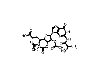 CC(=O)O[C@H]1[C@@H](OC(C)=O)[C@H](n2cnc3c(=O)[nH]c(NC(=O)C(C)C)nc32)O[C@@H]1[C@H](CCC(=O)O)OC(C)=O